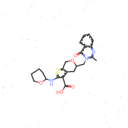 Cc1nc2ccccc2c(=O)n1CC1Cc2c(sc(NC3CCCCO3)c2C(=O)O)CO1